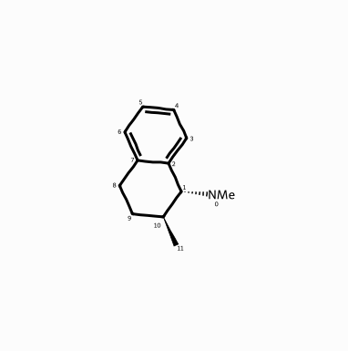 CN[C@H]1c2ccccc2CC[C@@H]1C